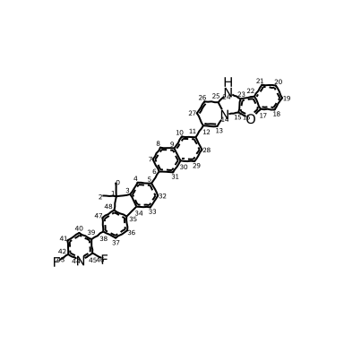 CC1(C)c2cc(-c3ccc4cc(C5=CN6c7oc8ccccc8c7NC6C=C5)ccc4c3)ccc2-c2ccc(-c3ccc(F)nc3F)cc21